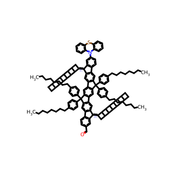 CCCCCCCCc1ccc(C2(c3ccc(CCCCCCCC)cc3)c3cc4c(cc3-c3cc5c(cc32)-c2cc3c(cc2C5(c2ccc(CCCCCCCC)cc2)c2ccc(CCCCCCCC)cc2)-c2ccc(N5c6ccccc6Sc6ccccc65)cc2/C3=C2\CC3C2C2C3C3C5C6C7CCC7C6C5C23)/C(=C2/CC3C2C2C3C3C5C6C7CCC7C6C5C23)c2cc(C=O)ccc2-4)cc1